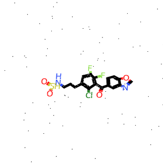 O=C(c1ccc2ocnc2c1)c1c(F)c(F)cc(CCCN[SH](=O)=O)c1Cl